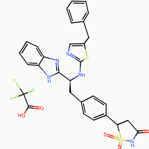 O=C(O)C(F)(F)F.O=C1CC(c2ccc(C[C@H](Nc3ncc(Cc4ccccc4)s3)c3nc4ccccc4[nH]3)cc2)S(=O)(=O)N1